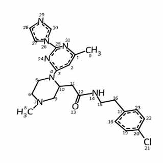 Cc1cc(N2CCN(C)CC2CC(=O)NCCc2ccc(Cl)cc2)nc(-n2ccnc2)n1